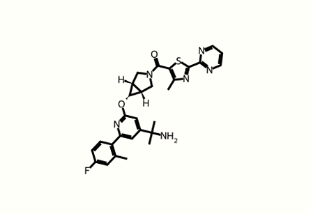 Cc1cc(F)ccc1-c1cc(C(C)(C)N)cc(O[C@@H]2[C@@H]3CN(C(=O)c4sc(-c5ncccn5)nc4C)C[C@@H]32)n1